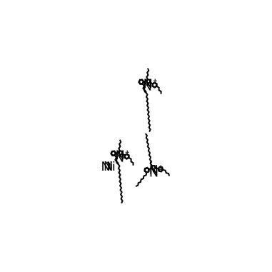 CCCCCCCCCCCCCC=CC1=C(c2cccc(CCCCCCCC)c2)[N+](=[N-])C(c2ccc(CCCC)cc2)=C1.CCCCCCCCCCCCCCCCCCC#CCCc1ccccc1C1=C(CCCCC)C=C(c2ccc(CCCC)cc2)[N+]1=[N-].CCCCCCCCCCCCCCCCCCC#CCCc1ccccc1C1=C(CCCCC)C=C(c2ccc(CCCC)cc2)[N+]1=[N-].C[CH2][Ni][CH2]C.[Ni]